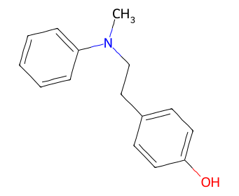 CN(CCc1ccc(O)cc1)c1ccccc1